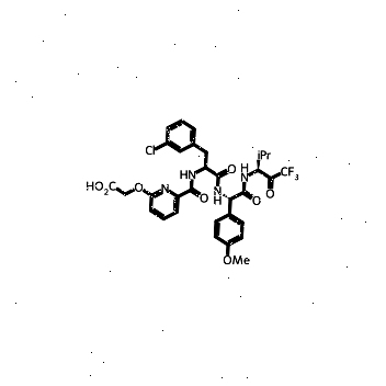 COc1ccc([C@H](NC(=O)C(Cc2cccc(Cl)c2)NC(=O)c2cccc(OCC(=O)O)n2)C(=O)N[C@H](C(=O)C(F)(F)F)C(C)C)cc1